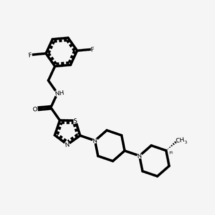 C[C@@H]1CCCN(C2CCN(c3ncc(C(=O)NCc4cc(F)ccc4F)s3)CC2)C1